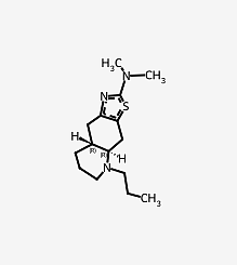 CCCN1CCC[C@@H]2Cc3nc(N(C)C)sc3C[C@H]21